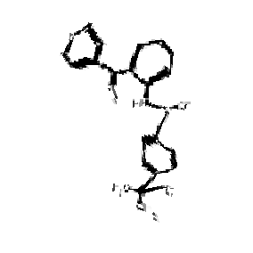 CCC(C)(C)c1ccc([S+]([O-])Nc2ccccc2C(=O)c2ccncc2)cc1